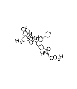 Cc1cc(C(F)(F)F)cc2nc(NC(=O)C(Cc3ccc(C(=O)NCCC(=O)O)cc3)c3ccc(C4CCCCC4)cc3)sc12